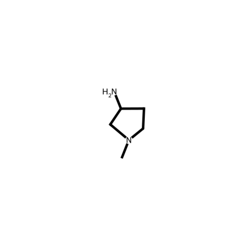 CN1CCC(N)C1